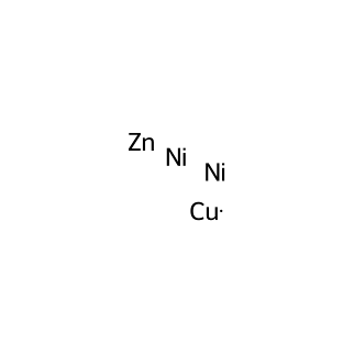 [Cu].[Ni].[Ni].[Zn]